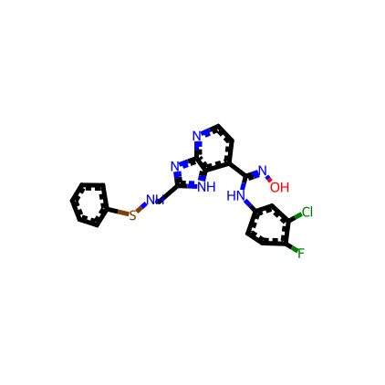 O/N=C(\Nc1ccc(F)c(Cl)c1)c1ccnc2nc(CNSc3ccccc3)[nH]c12